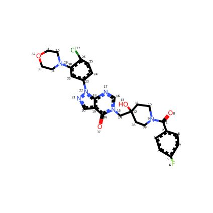 O=C(c1ccc(F)cc1)N1CCC(O)(Cn2cnc3c(cnn3-c3ccc(Cl)c(N4CCOCC4)c3)c2=O)CC1